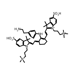 CC1(C)C(/C=C/C2=C(Nc3ccc(CCN)cc3)C(=C/C=C3/N(CCC[N+](C)(C)C)c4ccc(S(=O)(=O)O)cc4C3(C)C)/CCC2)=[N+](CCC[N+](C)(C)C)c2ccc(S(=O)(=O)O)cc21